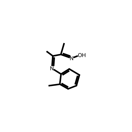 CC(=NO)C(C)=Nc1ccccc1C